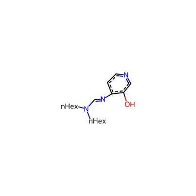 CCCCCCN(C=Nc1ccncc1O)CCCCCC